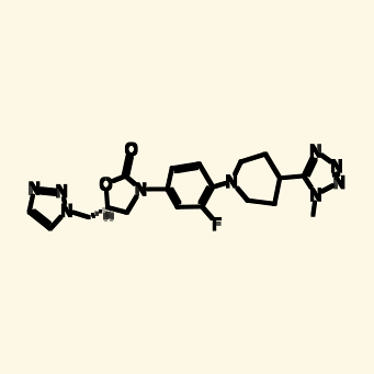 Cn1nnnc1C1CCN(c2ccc(N3C[C@H](Cn4ccnn4)OC3=O)cc2F)CC1